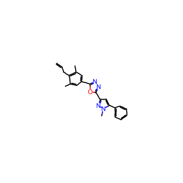 C=CCc1c(C)cc(-c2nnc(-c3cc(-c4ccccc4)n(C)n3)o2)cc1C